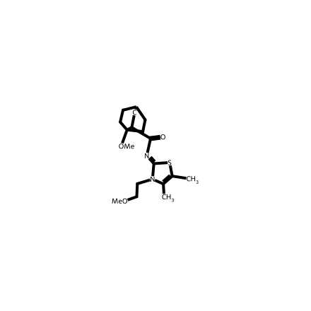 COCCn1c(C)c(C)sc1=NC(=O)C1CC2CCC1(OC)CC2